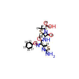 CC1(C)S[C@@H]2[C@@H](NC(=O)/C(=N\Oc3ccccc3)c3csc(N)n3)C(=O)N2[C@H]1C(=O)O